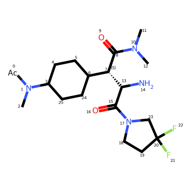 CC(=O)N(C)C1CCC([C@H](C(=O)N(C)C)C(N)C(=O)N2CCC(F)(F)C2)CC1